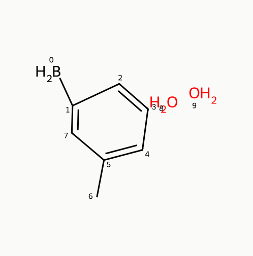 Bc1cccc(C)c1.O.O